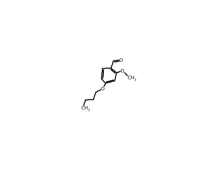 CCCCOc1ccc(C=O)c(OC)c1